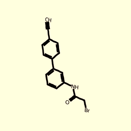 C#Cc1ccc(-c2cccc(NC(=O)CBr)c2)cc1